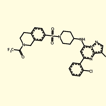 O=C(N1CCc2ccc(S(=O)(=O)N3CCC(Nc4cc(-c5ccccc5Cl)nc5c(Br)cnn45)CC3)cc2C1)C(F)(F)F